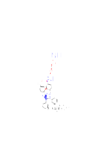 COc1cccc(-c2nc(-c3ccc(C(F)(F)F)cc3)n(Cc3ccc(C(=O)NCCOCCOCCN)cc3)c2-c2cccc(OC)c2)c1